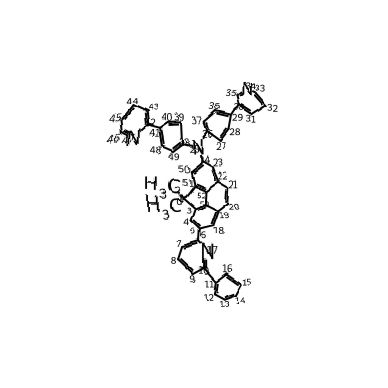 CC1(C)c2cc(-c3cccc(-c4ccccc4)n3)cc3ccc4cc(N(c5ccc(-c6cccnc6)cc5)c5ccc(-c6ccccn6)cc5)cc1c4c23